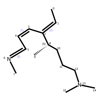 C\C=C(/C=C\C=N\C)[C@@H](C)CCCN(C)C